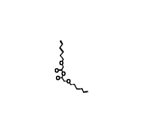 C=CC=CCCOCC(=O)OC(=O)COCCC=CC=C